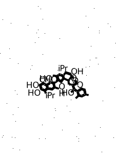 Cc1cc(C)c2c(O)c(CC3C(=O)C(O)=C(C(C)C)c4cc(C)c(-c5c(C)cc6c(C(C)C)c(O)c(O)c(C=O)c6c5O)c(O)c43)c(=O)oc2c1